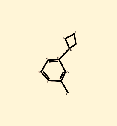 [CH2]c1cccc(C2CCC2)c1